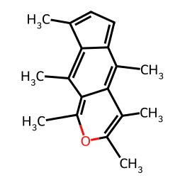 Cc1oc(C)c2c(C)c3c(C)ccc3c(C)c2c1C